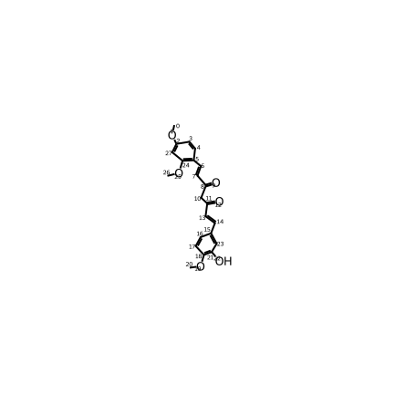 COc1ccc(/C=C/C(=O)CC(=O)/C=C/c2ccc(OC)c(O)c2)c(OC)c1